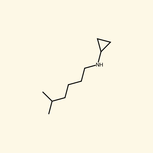 CC(C)CCCCNC1CC1